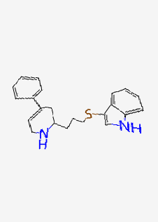 C1=C(c2ccccc2)CC(CCCSc2c[nH]c3ccccc23)NC1